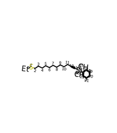 CCSCCCCCCCCCCC#C[Si](C)(C)c1ccccc1